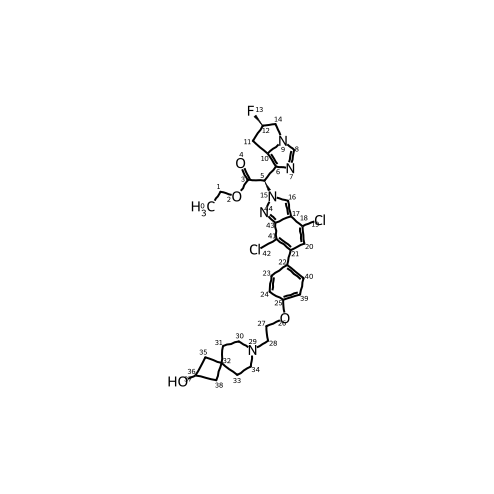 CCOC(=O)[C@@H](c1ncn2c1C[C@@H](F)C2)n1cc2c(Cl)cc(-c3ccc(OCCN4CCC5(CC4)CC(O)C5)cc3)c(Cl)c2n1